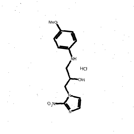 COc1ccc(NCC(O)Cn2ccnc2[N+](=O)[O-])cc1.Cl